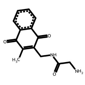 CC1=C(CNC(=O)CN)C(=O)c2ccccc2C1=O